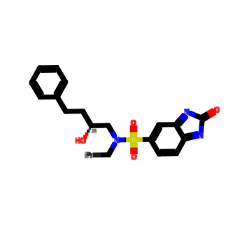 CC(C)CN(C[C@H](O)[CH]Cc1ccccc1)S(=O)(=O)c1ccc2c(c1)=NC(=O)N=2